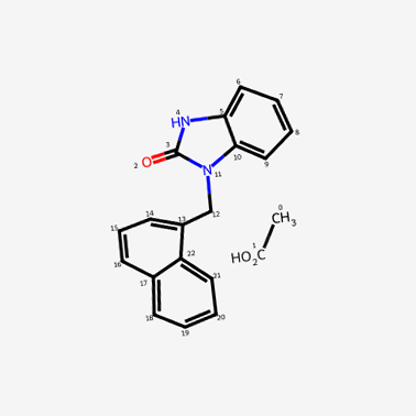 CC(=O)O.O=c1[nH]c2ccccc2n1Cc1cccc2ccccc12